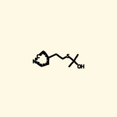 CC(C)(O)SCCc1ccncc1